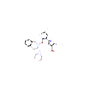 Cc1c(C(=O)O)cc(-c2cc(Cl)cnc2C(=O)N2Cc3ccccc3C[C@H]2CN2CCOCC2)n1C